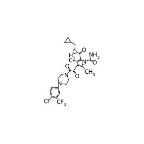 Cc1c(C(=O)C(=O)N2CCN(c3ccc(Cl)c(C(F)(F)F)c3)CC2)c(C)n(C(N)=O)c1C(=O)OCC1CC1